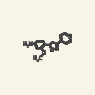 COc1cc(N)ccc1C1CC(c2ccncc2)=NO1